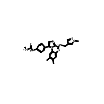 CNC(=O)Nc1ccc(-c2cnc3c(NCc4cnn(C)c4)nc4cc(C)c(C)cc4n23)cc1